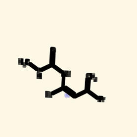 C=C(/C=C(/CC)NC(=O)PC)C(C)C